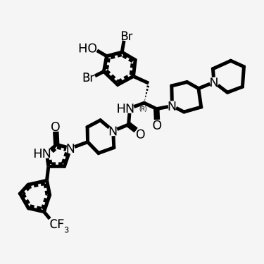 O=C(N[C@H](Cc1cc(Br)c(O)c(Br)c1)C(=O)N1CCC(N2CCCCC2)CC1)N1CCC(n2cc(-c3cccc(C(F)(F)F)c3)[nH]c2=O)CC1